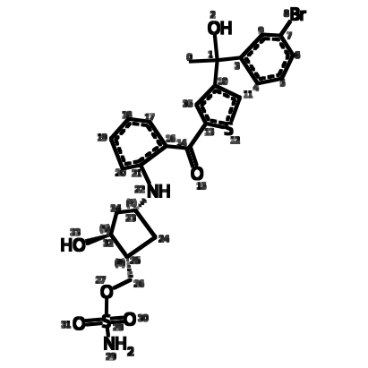 CC(O)(c1cccc(Br)c1)c1csc(C(=O)c2ccccc2N[C@@H]2C[C@H](COS(N)(=O)=O)[C@@H](O)C2)c1